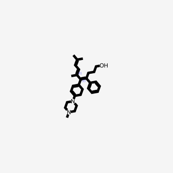 CC(C)=C/C=C(C)/C(C1=CC=C(N2CCN(C)CC2)CC1)=C(\CCCO)c1ccccc1